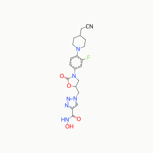 N#CCC1CCN(c2ccc(N3CC(Cn4cc(C(=O)NO)nn4)OC3=O)cc2F)CC1